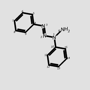 NN(/N=N/c1ccccc1)c1ccccc1